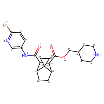 O=C(Nc1ccc(Br)nc1)C1C(C(=O)OCC2CCNCC2)C2CCC1C21CC1